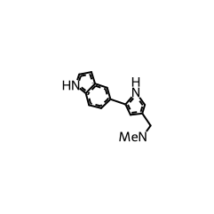 CNCc1c[nH]c(-c2ccc3[nH]ccc3c2)c1